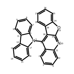 c1ccc2c(-n3c4ccccc4c4ccccc43)c3c(nc2c1)oc1ccccc13